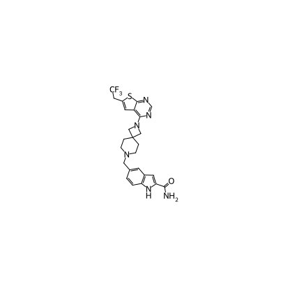 NC(=O)c1cc2cc(CN3CCC4(CC3)CN(c3ncnc5sc(CC(F)(F)F)cc35)C4)ccc2[nH]1